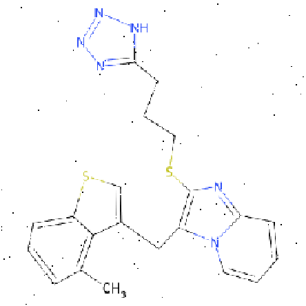 Cc1cccc2scc(Cc3c(SCCCc4nnn[nH]4)nc4ccccn34)c12